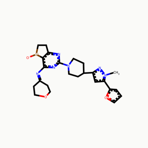 Cn1nc(C2CCN(c3nc4c(c(N=C5CCOCC5)n3)[S+]([O-])CC4)CC2)cc1-c1ccco1